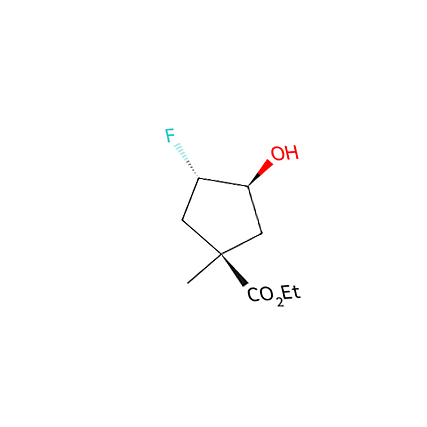 CCOC(=O)[C@]1(C)C[C@H](O)[C@@H](F)C1